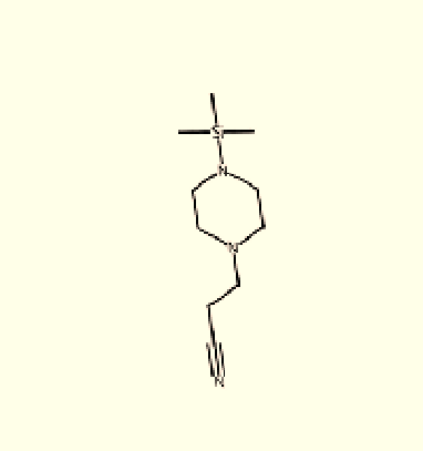 C[Si](C)(C)N1CCN(CCC#N)CC1